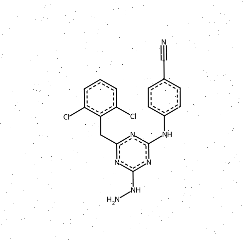 N#Cc1ccc(Nc2nc(Cc3c(Cl)cccc3Cl)nc(NN)n2)cc1